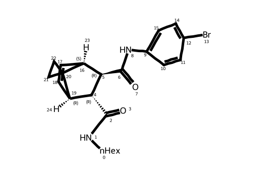 CCCCCCNC(=O)[C@H]1[C@H](C(=O)Nc2ccc(Br)cc2)[C@@H]2C=C[C@H]1C21CC1